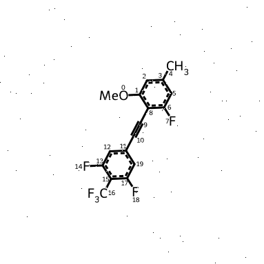 COc1cc(C)cc(F)c1C#Cc1cc(F)c(C(F)(F)F)c(F)c1